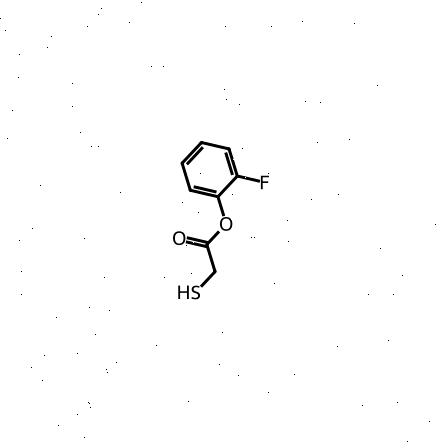 O=C(CS)Oc1ccccc1F